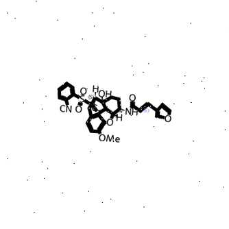 COc1ccc2c3c1O[C@@H]1[C@@H](NC(=O)/C=C/c4ccoc4)CC[C@]4(O)[C@H](C2)N(S(=O)(=O)c2ccccc2C#N)CC[C@@]314